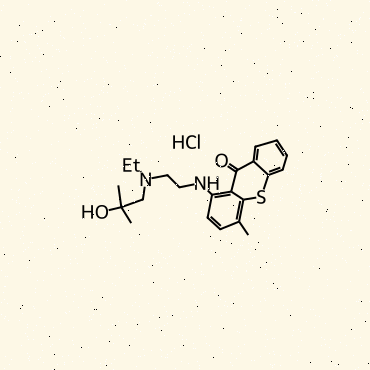 CCN(CCNc1ccc(C)c2sc3ccccc3c(=O)c12)CC(C)(C)O.Cl